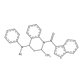 CC(=O)N(c1ccccc1)C1CC(C)N(C(=O)c2csc3ccccc23)c2ccccc21